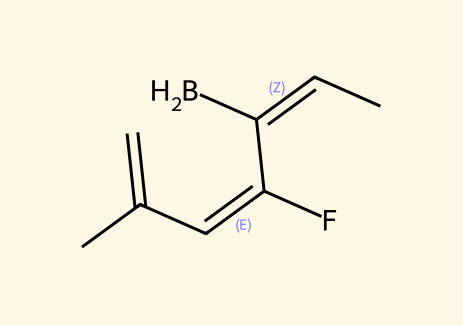 BC(=C/C)/C(F)=C\C(=C)C